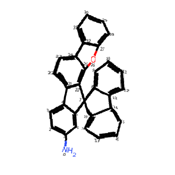 Nc1ccc2c(c1)C1(c3ccccc3-c3ccccc31)c1c-2ccc2c1oc1ccccc12